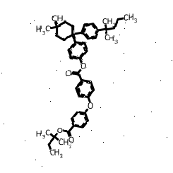 CCCC(C)(C)c1ccc(C2(c3ccc(OC(=O)c4ccc(Oc5ccc(C(=O)OC(C)(C)CC)cc5)cc4)cc3)CCC(C)(C)CC2)cc1